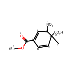 CC(C)(C)OC(=O)C1=CC([N+](=O)[O-])C(C)(C(=O)O)C=C1